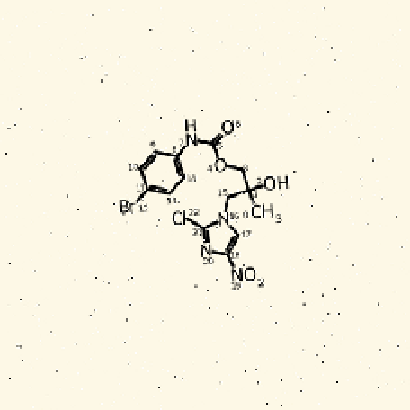 CC(O)(COC(=O)Nc1ccc(Br)cc1)Cn1cc([N+](=O)[O-])nc1Cl